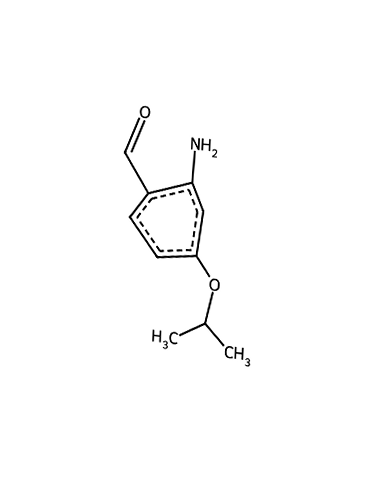 CC(C)Oc1ccc(C=O)c(N)c1